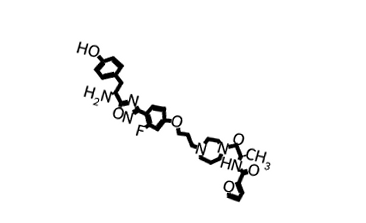 C[C@H](NC(=O)c1ccco1)C(=O)N1CCCN(CCCOc2ccc(-c3noc([C@@H](N)Cc4ccc(O)cc4)n3)c(F)c2)CC1